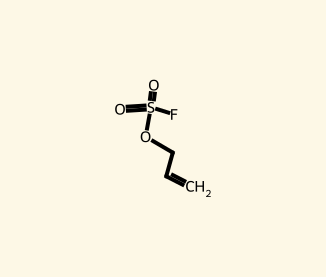 C=CCOS(=O)(=O)F